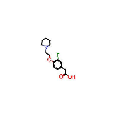 O=C(O)Cc1ccc(OCCN2CCCCC2)c(F)c1